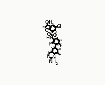 Nc1ncc2cc(-c3c(F)ccc(NS(=O)(=O)c4cc(Cl)cc5c4OCC5O)c3F)cc(F)c2n1